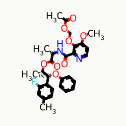 COc1ccnc(C(=O)N[C@@H](C)C(=O)O[C@@H](C)[C@H](Oc2ccccc2)c2ccc(C)cc2F)c1OCOC(C)=O